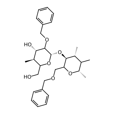 CC1[C@H](C)OC(COCc2ccccc2)[C@@H](O[C@@H]2OC(CO)[C@@H](C)[C@H](O)C2OCc2ccccc2)[C@@H]1C